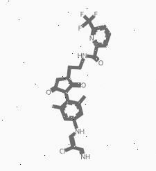 Cc1cc(N/C=C(/Cl)C=N)cc(C)c1C1C(=O)CC(CCNC(=O)c2cccc(C(F)(F)F)n2)C1=O